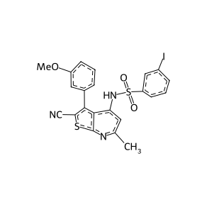 COc1cccc(-c2c(C#N)sc3nc(C)cc(NS(=O)(=O)c4cccc(I)c4)c23)c1